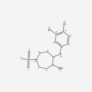 CS(=O)(=O)N1CCC(O)C(Oc2ccc(Cl)c(Cl)c2)CC1